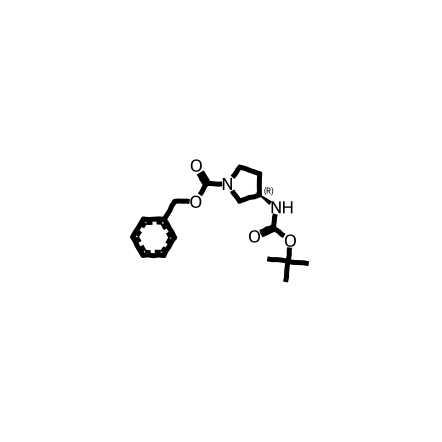 CC(C)(C)OC(=O)N[C@@H]1CCN(C(=O)OCc2ccccc2)C1